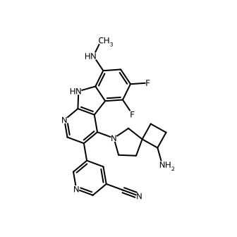 CNc1cc(F)c(F)c2c1[nH]c1ncc(-c3cncc(C#N)c3)c(N3CCC4(CCC4N)C3)c12